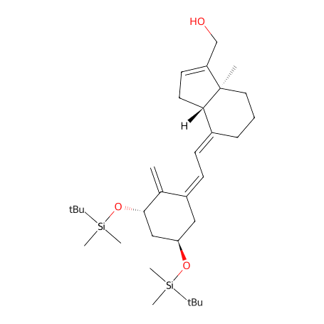 C=C1/C(=C\C=C2/CCC[C@]3(C)C(CO)=CC[C@@H]23)C[C@@H](O[Si](C)(C)C(C)(C)C)C[C@@H]1O[Si](C)(C)C(C)(C)C